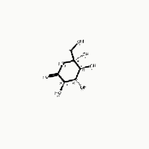 O=C1N[C@@](O)(CO)[C@@H](O)[C@H](O)[C@H]1O